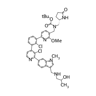 COc1nc(-c2cccc(-c3ccnc(-c4ccc5c(CNCC(C)O)cn(C)c5c4)c3Cl)c2Cl)ccc1CN(C[C@@H]1CCC(=O)N1)C(=O)OC(C)(C)C